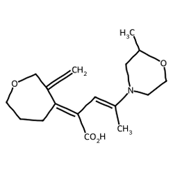 C=C1COCCC/C1=C(/C=C(\C)N1CCOC(C)C1)C(=O)O